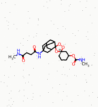 CNC(=O)CCC(=O)NC12CC3CC(C1)C1(OO[C@@]4(CCCC(OC(=O)NC)C4)O1)C(C3)C2